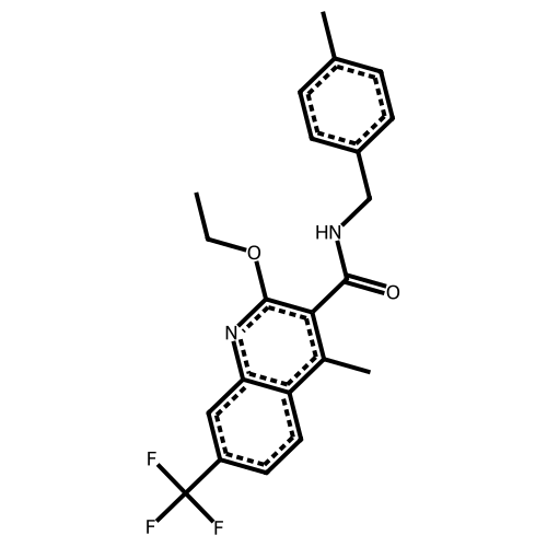 CCOc1nc2cc(C(F)(F)F)ccc2c(C)c1C(=O)NCc1ccc(C)cc1